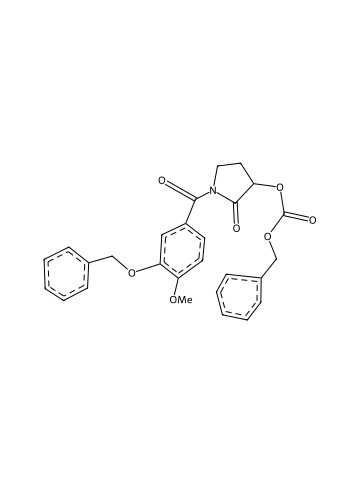 COc1ccc(C(=O)N2CCC(OC(=O)OCc3ccccc3)C2=O)cc1OCc1ccccc1